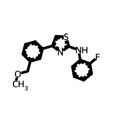 COCc1cccc(-c2csc(Nc3ccccc3F)n2)c1